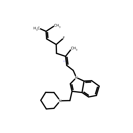 CC(C)=CC(F)C/C(C)=C/Cn1cc(CN2CCCCC2)c2ccccc21